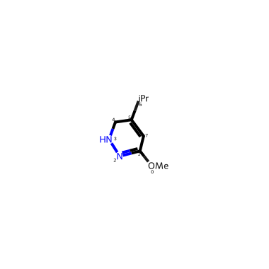 COC1=NNCC(C(C)C)=C1